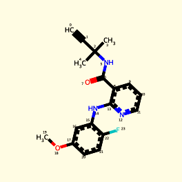 C#CC(C)(C)NC(=O)c1cccnc1Nc1cc(OC)ccc1F